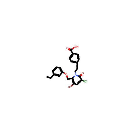 CCc1cccc(OCc2c(Br)cc(Cl)c(=O)n2CCc2ccc(C(=O)O)cc2)c1